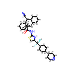 CC1(C(=O)Nc2nc(C(F)(F)c3ccc(-c4ccncc4)cc3)cs2)CC2(C#N)c3ccccc3C1c1ccccc12